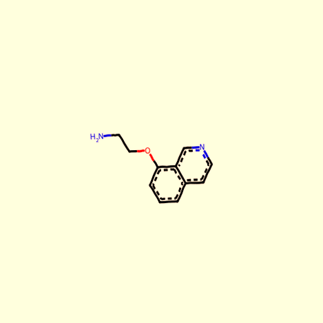 NCCOc1cccc2ccncc12